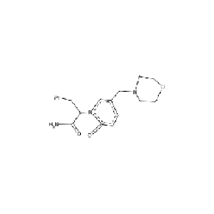 CC(C)CC(C(N)=O)n1cc(CN2CCOCC2)ccc1=O